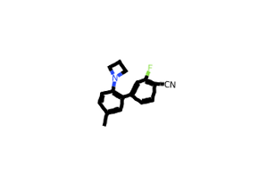 Cc1ccc(N2CCC2)c(-c2ccc(C#N)c(F)c2)c1